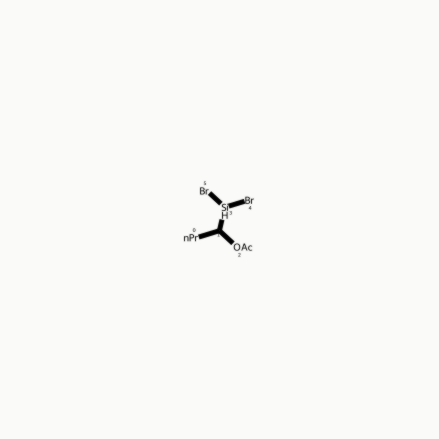 CCCC(OC(C)=O)[SiH](Br)Br